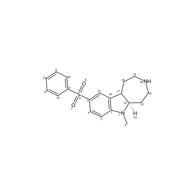 CN1c2ccc(S(=O)(=O)c3ccccc3)cc2C2CCNCC[C@H]21